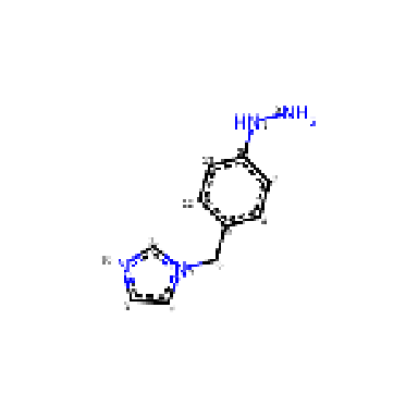 NNc1ccc(Cn2ccnc2)cc1